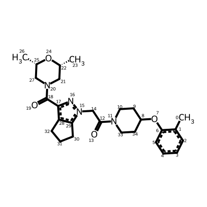 Cc1ccccc1OC1CCN(C(=O)Cn2nc(C(=O)N3C[C@@H](C)O[C@@H](C)C3)c3c2CCC3)CC1